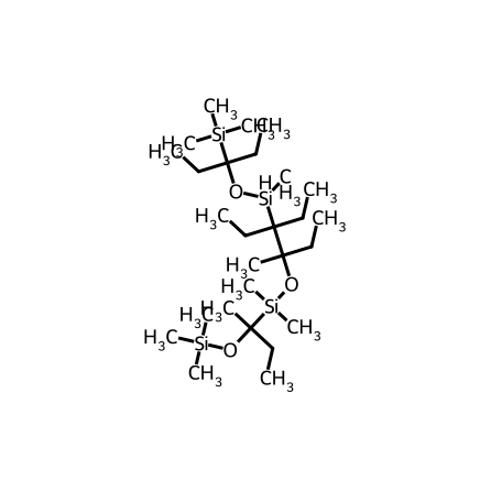 CCC(C)(O[Si](C)(C)C(C)(CC)O[Si](C)(C)C)C(CC)(CC)[SiH](C)OC(CC)(CC)[Si](C)(C)C